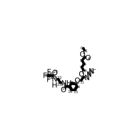 CCOC(=O)CCCCOC(COc1cccc(C(=O)NCCNC(=O)C(F)(F)F)c1)N=[N+]=[N-]